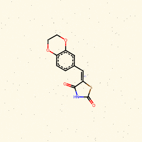 O=C1NC(=O)/C(=C\c2ccc3c(c2)OCCO3)S1